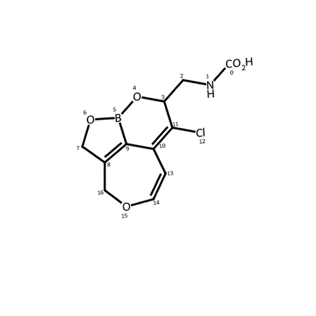 O=C(O)NCC1OB2OCC3=C2C(=C1Cl)C=COC3